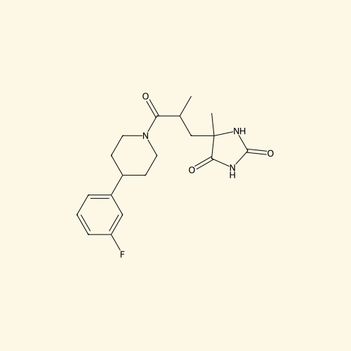 CC(CC1(C)NC(=O)NC1=O)C(=O)N1CCC(c2cccc(F)c2)CC1